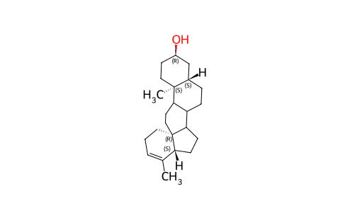 CC1=CCC[C@]23CCC4C(CC[C@H]5C[C@H](O)CC[C@]45C)C2CC[C@H]13